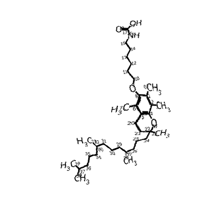 Cc1c(C)c2c(c(C)c1OCCCCCCNC(=O)O)CCC(C)(CCC[C@H](C)CCC[C@H](C)CCCC(C)C)O2